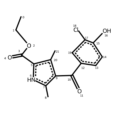 CCOC(=O)c1[nH]c(C)c(C(=O)c2ccc(O)c(Cl)c2)c1C